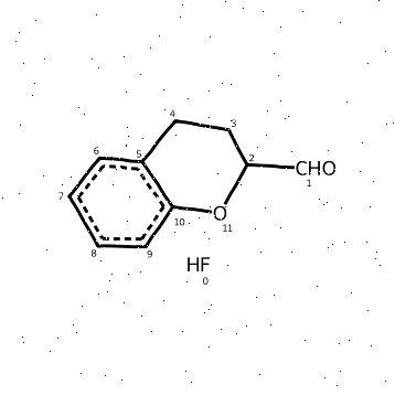 F.O=CC1CCc2ccccc2O1